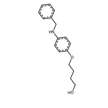 OCCCCOc1ccc(NCc2ccccc2)cc1